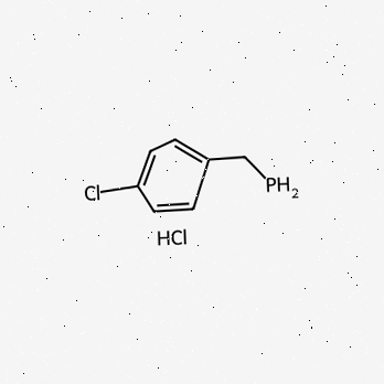 Cl.PCc1ccc(Cl)cc1